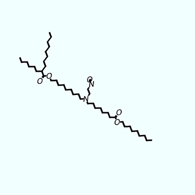 CCCCCCCCCOC(=O)CCCCCCCN(CCCCCCCCCOC(=O)C(CCCCCC)CCCCCCCC)CCN=O